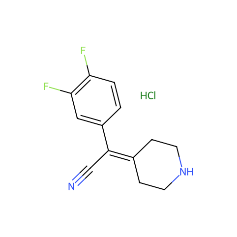 Cl.N#CC(=C1CCNCC1)c1ccc(F)c(F)c1